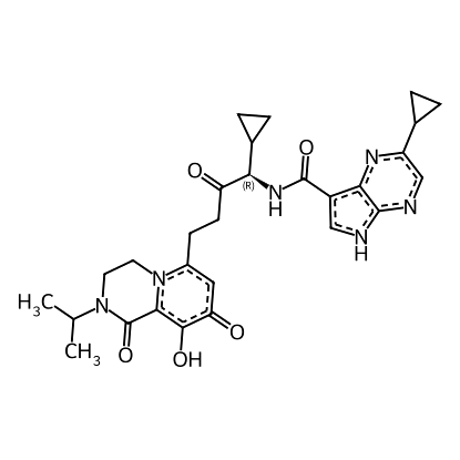 CC(C)N1CCn2c(CCC(=O)[C@H](NC(=O)c3c[nH]c4ncc(C5CC5)nc34)C3CC3)cc(=O)c(O)c2C1=O